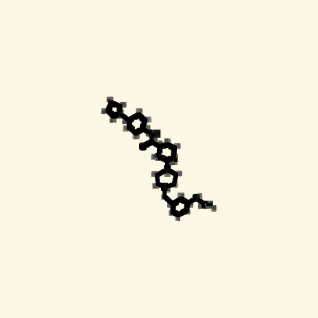 COc1cccc(CN2CCN(c3nccc(C(=O)Nc4ccc(-n5cccc5)cc4)n3)CC2)c1